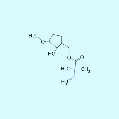 CCC(C)(C)C(=O)OCC1CCC(OC)C1O